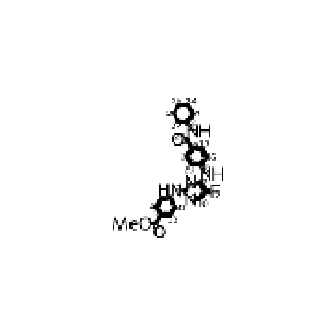 COC(=O)c1ccc(Nc2ncc(F)c(Nc3ccc(C(=O)NC4CCCCC4)cc3)n2)cc1